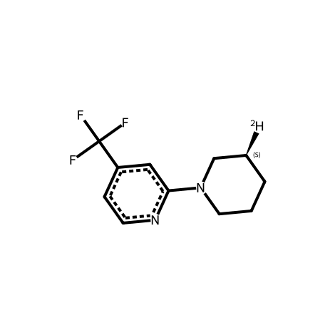 [2H][C@H]1CCCN(c2cc(C(F)(F)F)ccn2)C1